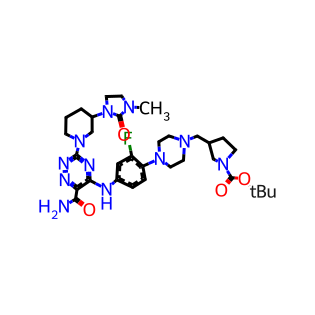 CN1CCN(C2CCCN(c3nnc(C(N)=O)c(Nc4ccc(N5CCN(CC6CCN(C(=O)OC(C)(C)C)C6)CC5)c(F)c4)n3)C2)C1=O